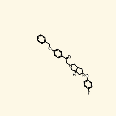 O=C(CN1CC2C[C@@H](Oc3ccc(F)cc3)C[C@@H]2C1)c1ccc(OCc2ccccc2)cc1